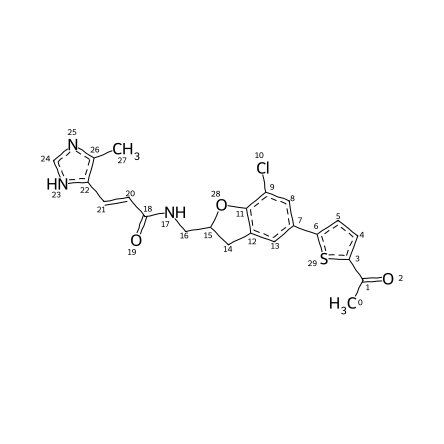 CC(=O)c1ccc(-c2cc(Cl)c3c(c2)CC(CNC(=O)/C=C/c2[nH]cnc2C)O3)s1